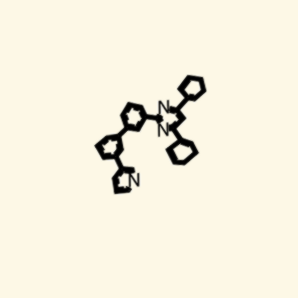 C1=CC(c2cc(C3=CCCC=C3)nc(-c3cccc(-c4cccc(-c5cccnc5)c4)c3)n2)=CCC1